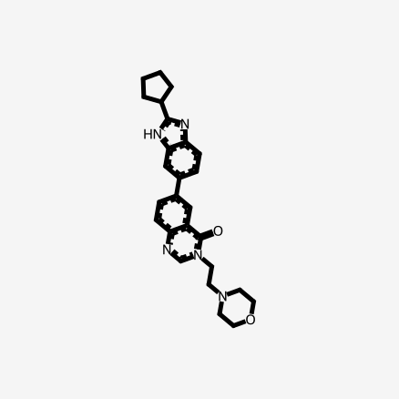 O=c1c2cc(-c3ccc4nc(C5CCCC5)[nH]c4c3)ccc2ncn1CCN1CCOCC1